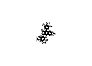 COc1cc(-c2c3c(c(O[C@@H]4C[C@@H]5CO[C@@H](C)O[C@H]5[C@H](O)[C@H]4N(C)C)c4cc5c(cc24)OCO5)COC3=O)cc(OC)c1O